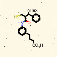 CCCCCCC(c1ccccc1)C(CS)C(=O)Nc1cccc(CCCC(=O)O)c1